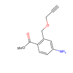 C#CCOCc1cc(N)ccc1C(=O)OC